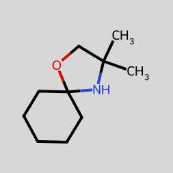 CC1(C)COC2(CCCCC2)N1